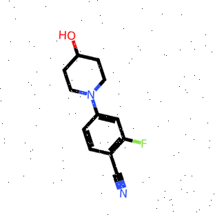 N#Cc1ccc(N2CCC(O)CC2)cc1F